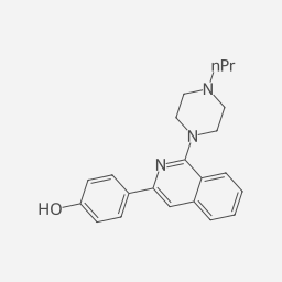 CCCN1CCN(c2nc(-c3ccc(O)cc3)cc3ccccc23)CC1